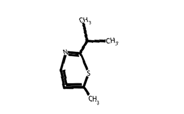 CC1=C=CN=C(C(C)C)S1